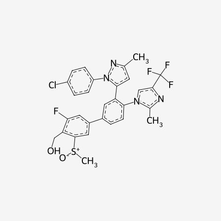 Cc1cc(-c2cc(-c3cc(F)c(CO)c([S+](C)[O-])c3)ccc2-n2cc(C(F)(F)F)nc2C)n(-c2ccc(Cl)cc2)n1